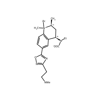 CCN(C(=O)[O-])[C@@H]1C[C@H](C)[N+](C)(C(C)=O)c2ccc(-c3nc(CCNC)no3)cc21